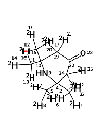 [2H]C([2H])([2H])C1(C([2H])([2H])[2H])NC(C([2H])([2H])[2H])(C([2H])([2H])[2H])C([2H])([2H])C(=O)C1([2H])[2H]